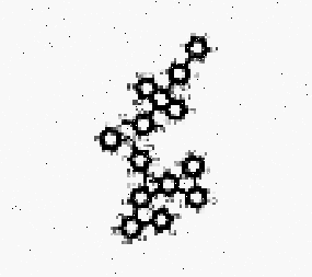 Cc1cc(N(c2ccccc2)c2ccc(-n3c4ccc(-c5ccccc5-c5ccccc5)cc4c4cc(-c5ccccc5-c5ccccc5)ccc43)cc2)c(C)cc1-c1c2ccccc2c(-c2ccc(-c3ccccc3)cc2)c2ccccc12